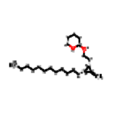 C=C1[C@@H](CCOC2CCCCO2)[C@H]1CCCCCCCCCCCC